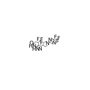 O=C1CC(C(F)(F)F)c2c(C3CCN(c4cnc(C(F)(F)F)cn4)CC3)n[nH]c2N1